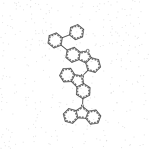 c1ccc(-c2ccccc2-c2ccc3c(c2)oc2cccc(-n4c5ccccc5c5cc(-n6c7ccccc7c7ccccc76)ccc54)c23)cc1